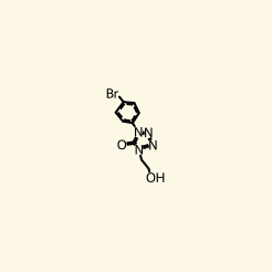 O=c1n(CCO)nnn1-c1ccc(Br)cc1